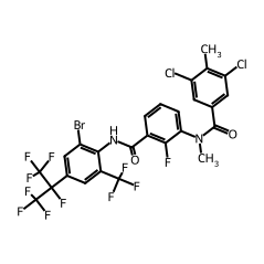 Cc1c(Cl)cc(C(=O)N(C)c2cccc(C(=O)Nc3c(Br)cc(C(F)(C(F)(F)F)C(F)(F)F)cc3C(F)(F)F)c2F)cc1Cl